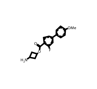 COc1ccc(-c2ccc(C(=O)OC3CC(N)C3)c(F)c2)cc1